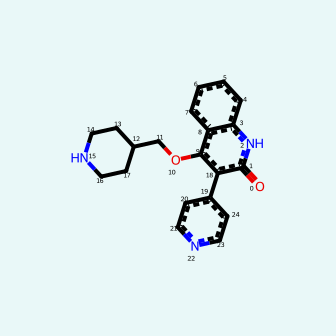 O=c1[nH]c2ccccc2c(OCC2CCNCC2)c1-c1ccncc1